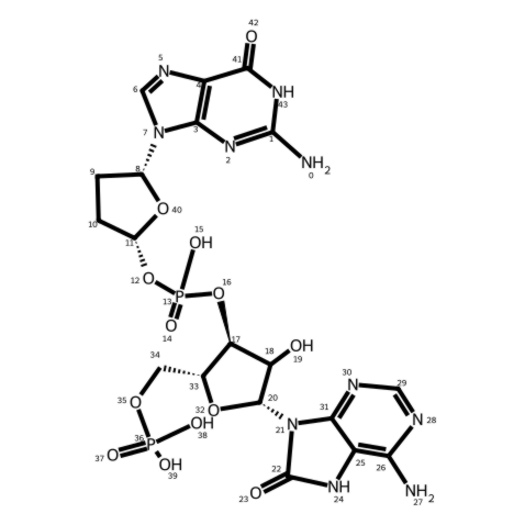 Nc1nc2c(ncn2[C@H]2CC[C@@H](OP(=O)(O)O[C@H]3C(O)[C@H](n4c(=O)[nH]c5c(N)ncnc54)O[C@@H]3COP(=O)(O)O)O2)c(=O)[nH]1